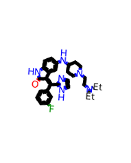 CCN(CC)CCN1CCC(Nc2ccc3c(c2)C(=C(c2cccc(F)c2)c2ncc[nH]2)C(=O)N3)CC1